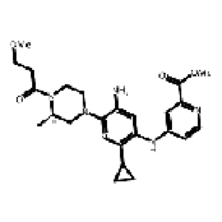 COCCC(=O)N1CCN(c2nc(C3CC3)c(Nc3ccnc(C(=O)OC)c3)cc2N)C[C@H]1C